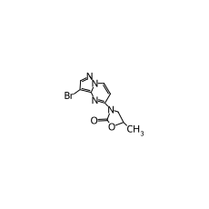 CC1CN(c2ccn3ncc(Br)c3n2)C(=O)O1